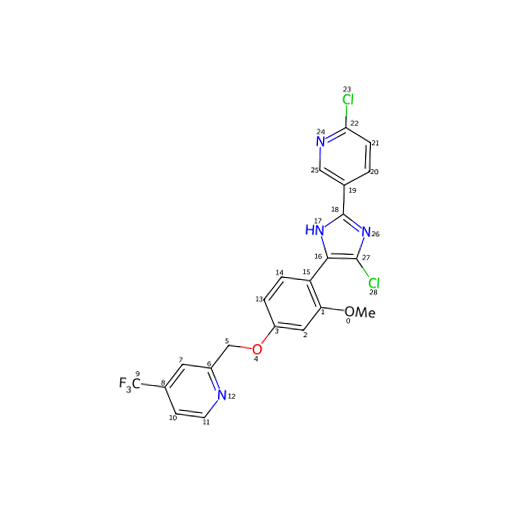 COc1cc(OCc2cc(C(F)(F)F)ccn2)ccc1-c1[nH]c(-c2ccc(Cl)nc2)nc1Cl